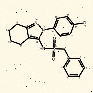 O=S(=O)(Cc1ccccc1)Nc1c2c(nn1-c1ccc(Cl)cc1)CCCC2